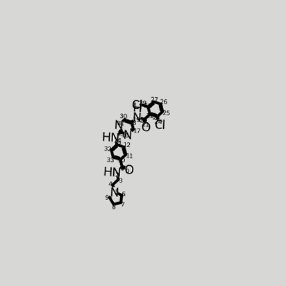 O=C(NCCN1CCCC1)c1ccc(Nc2ncc(NC(=O)c3c(Cl)cccc3Cl)cn2)cc1